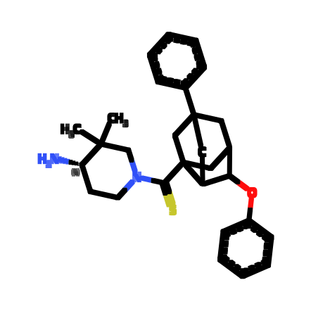 CC1(C)CN(C(=S)C23CC4CC(c5ccccc5)(CC2C4Oc2ccccc2)C3)CC[C@@H]1N